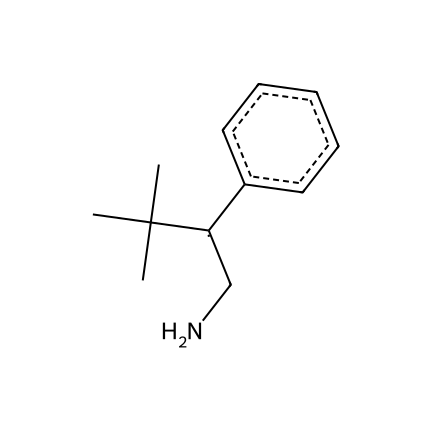 CC(C)(C)[C](CN)c1ccccc1